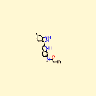 CC(C)CC(=O)N(C)c1ccc2cc(-c3n[nH]c4c3CCC(C)(C)C4)[nH]c2c1